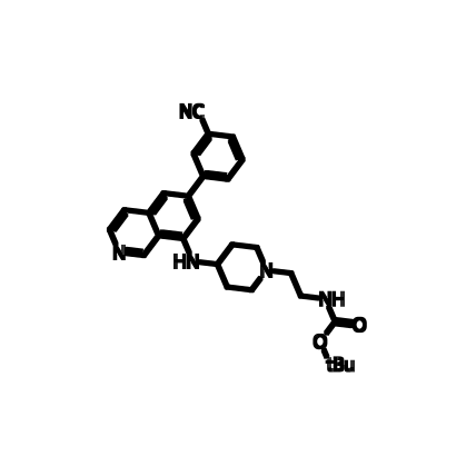 CC(C)(C)OC(=O)NCCN1CCC(Nc2cc(-c3cccc(C#N)c3)cc3ccncc23)CC1